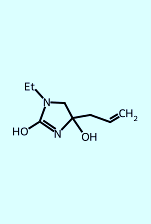 C=CCC1(O)CN(CC)C(O)=N1